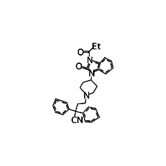 CCC(=O)n1c(=O)n(C2CCN(CCC(C#N)(c3ccccc3)c3ccccc3)CC2)c2ccccc21